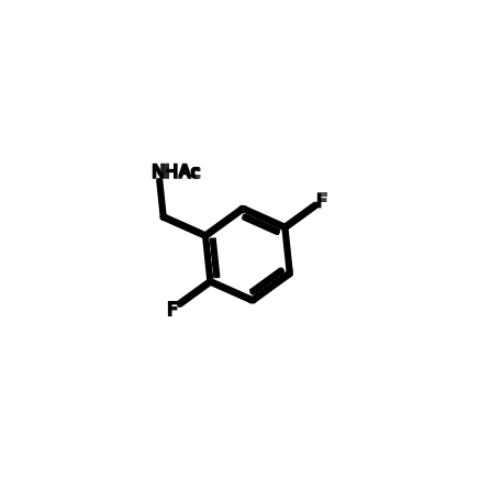 CC(=O)NCc1cc(F)ccc1F